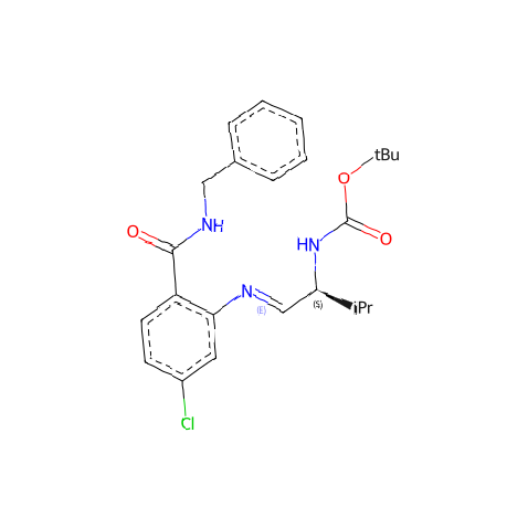 CC(C)[C@@H](/C=N/c1cc(Cl)ccc1C(=O)NCc1ccccc1)NC(=O)OC(C)(C)C